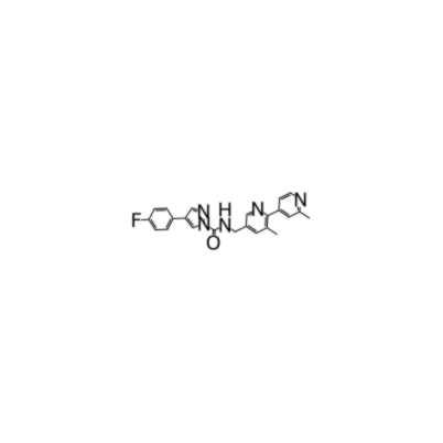 Cc1cc(-c2ncc(CNC(=O)n3cc(-c4ccc(F)cc4)cn3)cc2C)ccn1